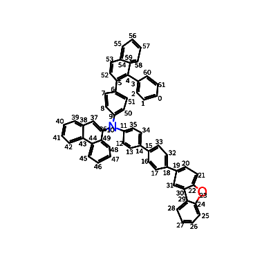 c1ccc(-c2c(-c3ccc(N(c4ccc(-c5ccc(-c6ccc7oc8ccccc8c7c6)cc5)cc4)c4cc5ccccc5c5ccccc45)cc3)ccc3ccccc23)cc1